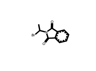 CC(Br)N1C(=O)c2ccccc2C1=O